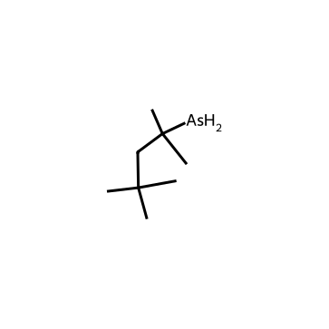 CC(C)(C)CC(C)(C)[AsH2]